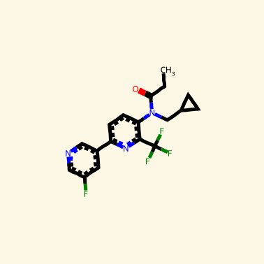 CCC(=O)N(CC1CC1)c1ccc(-c2cncc(F)c2)nc1C(F)(F)F